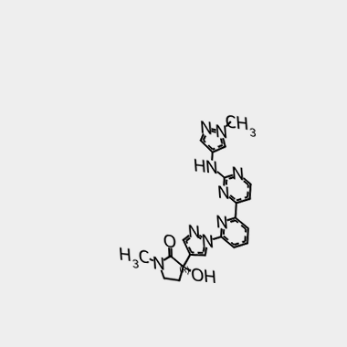 CN1CC[C@@](O)(c2cnn(-c3cccc(-c4ccnc(Nc5cnn(C)c5)n4)n3)c2)C1=O